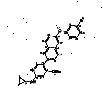 COc1nc(NC2CC2)ncc1-c1ccc2cc(Oc3ccnc(Br)c3)ccc2n1